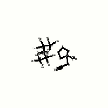 C#CC[N+]1(C)CCCC1.O=P([O-])(C(F)(F)C(F)(F)F)C(F)(F)C(F)(F)F